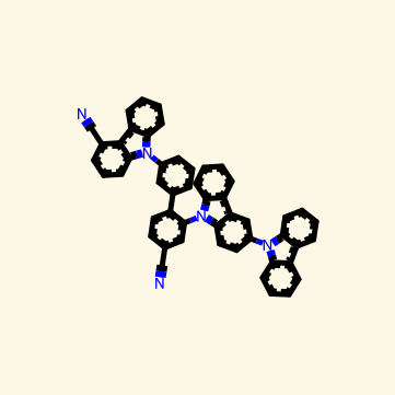 N#Cc1ccc(-c2cccc(-n3c4ccccc4c4c(C#N)cccc43)c2)c(-n2c3ccccc3c3cc(-n4c5ccccc5c5ccccc54)ccc32)c1